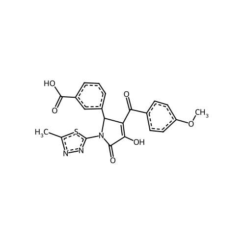 COc1ccc(C(=O)C2=C(O)C(=O)N(c3nnc(C)s3)C2c2cccc(C(=O)O)c2)cc1